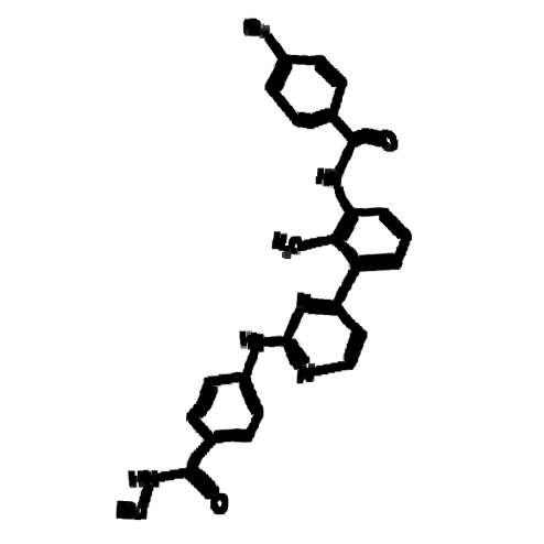 CCC(C)NC(=O)c1ccc(Nc2nccc(-c3cccc(NC(=O)c4ccc(C(C)(C)C)cc4)c3C)n2)cc1